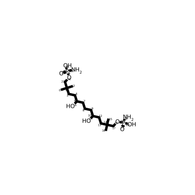 CC(C)(CCC(O)CCCC(O)CCC(C)(C)COP(N)(=O)O)COP(N)(=O)O